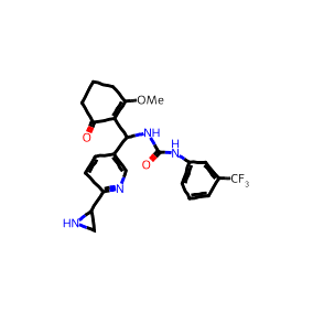 COC1=C(C(NC(=O)Nc2cccc(C(F)(F)F)c2)c2ccc(C3CN3)nc2)C(=O)CCC1